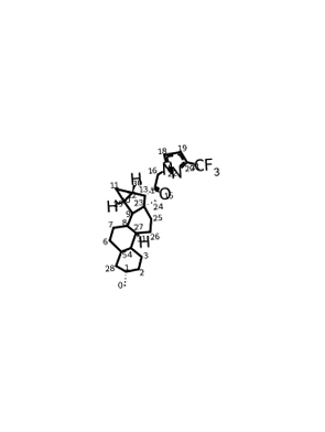 C[C@H]1CCC2C(CCC3C4[C@@H]5C[C@@H]5[C@H](C(=O)Cn5ccc(C(F)(F)F)n5)[C@@]4(C)CC[C@H]23)C1